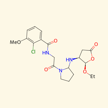 CCO[C@@H]1OC(=O)C[C@@H]1NC1CCCN1C(=O)CNC(=O)c1cccc(OC)c1Cl